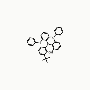 Cc1cccc(Oc2ccccc2)c1P(c1cccc(C(C)(C)C)c1O)c1c(C)cccc1Oc1ccccc1